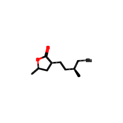 CC1CC(CC[C@H](C)CC(C)(C)C)C(=O)O1